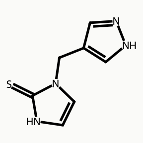 S=c1[nH]ccn1Cc1cn[nH]c1